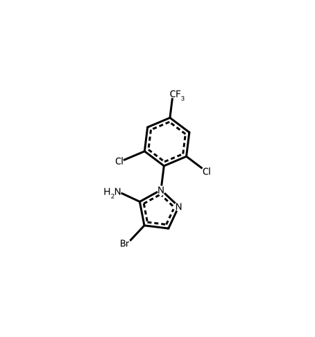 Nc1c(Br)cnn1-c1c(Cl)cc(C(F)(F)F)cc1Cl